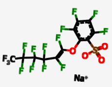 O=S(=O)([O-])c1c(F)c(F)c(F)c(F)c1OC(F)=C(F)C(F)(F)C(F)(F)C(F)(F)C(F)(F)F.[Na+]